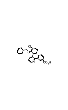 O=C(O)c1cccc(-c2ncccc2-c2cccc(Cl)c2OCc2ccccc2)c1